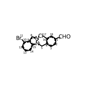 O=Cc1ccc(Cn2ncc3c(Br)cccc32)c(Cl)c1